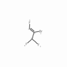 FC=C(Br)C(F)F